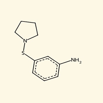 Nc1cccc(SN2CCCC2)c1